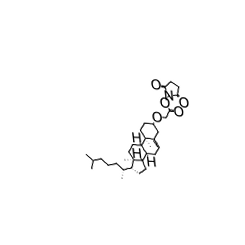 CC(C)CCC[C@@H](C)[C@H]1CC[C@H]2[C@@H]3CC=C4C[C@@H](OCC(=O)ON5C(=O)CCC5=O)CC[C@]4(C)[C@H]3CC[C@]12C